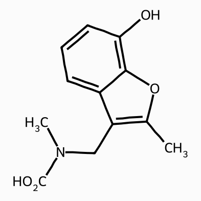 Cc1oc2c(O)cccc2c1CN(C)C(=O)O